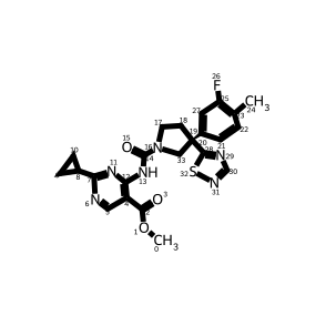 COC(=O)c1cnc(C2CC2)nc1NC(=O)N1CC[C@](c2ccc(C)c(F)c2)(c2ncns2)C1